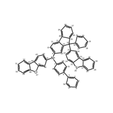 c1ccc(-c2ccc(N(c3ccc4c(c3)C(c3ccccc3)(c3ccc5sc6ccccc6c5c3)c3ccccc3-4)c3ccc4c(c3)oc3ccccc34)cc2)cc1